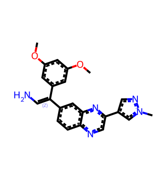 COc1cc(OC)cc(/C(=C\N)c2ccc3ncc(-c4cnn(C)c4)nc3c2)c1